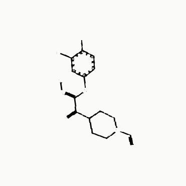 O=CN1CCC(C(=O)/C(=N/O)Nc2ccc(F)c(Br)c2)CC1